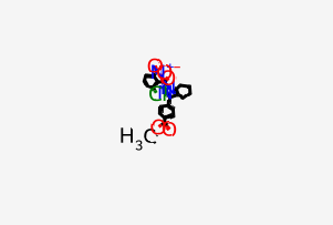 CCOC(=O)c1ccc(-c2nn(C(=O)c3c(Cl)cccc3[N+](=O)[O-])c3c2CCCC3)cc1